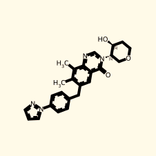 Cc1c(Cc2ccc(-n3cccn3)cc2)cc2c(=O)n([C@H]3COCC[C@@H]3O)cnc2c1C